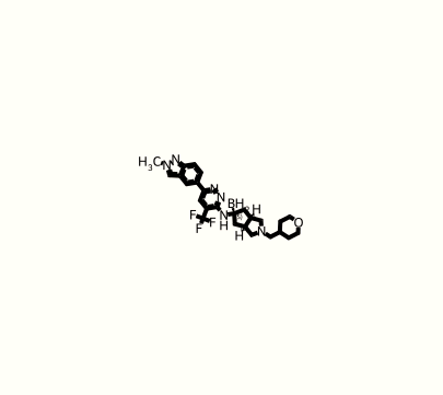 B[C@@]1(Nc2nnc(-c3ccc4nn(C)cc4c3)cc2C(F)(F)F)C[C@H]2CN(CC3CCOCC3)C[C@H]2C1